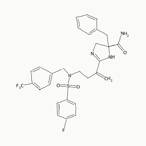 C=C(CCN(Cc1ccc(C(F)(F)F)cc1)S(=O)(=O)c1ccc(F)cc1)C1=NCC(Cc2ccccc2)(C(N)=O)N1